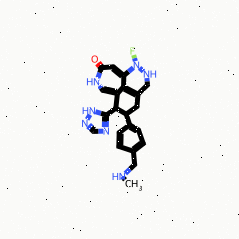 CNCc1ccc(C2CC3=C4C(=CNC(=O)C=C4N(F)NC3)C2c2ncn[nH]2)cc1